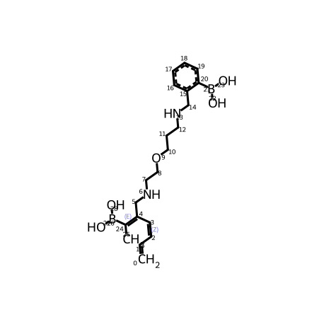 C=C/C=C\C(CNCCOCCCNCc1ccccc1B(O)O)=C(/C)B(O)O